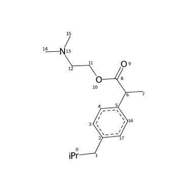 CC(C)Cc1ccc(C(C)C(=O)OCCN(C)C)cc1